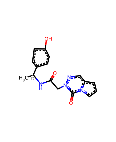 C[C@H](NC(=O)Cn1ncc2cccn2c1=O)c1ccc(O)cc1